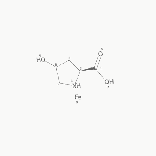 O=C(O)[C@@H]1CC(O)CN1.[Fe]